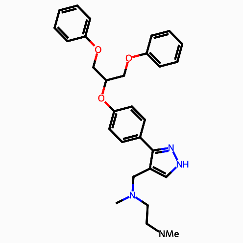 CNCCN(C)Cc1c[nH]nc1-c1ccc(OC(COc2ccccc2)COc2ccccc2)cc1